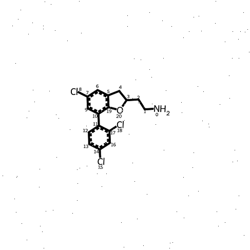 NCCC1Cc2cc(Cl)cc(-c3ccc(Cl)cc3Cl)c2O1